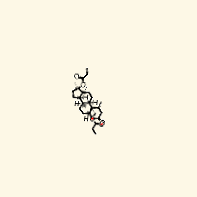 CCC(=O)OC[C@]12[C@@H](CC[C@@H]3[C@@H]1CC[C@@]1(C)[C@H]3CC[C@@]1(C)OC(=O)CC)CC(=O)C[C@@H]2C